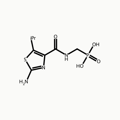 CC(C)c1sc(N)nc1C(=O)NCP(=O)(O)O